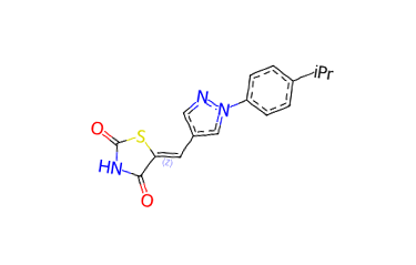 CC(C)c1ccc(-n2cc(/C=C3\SC(=O)NC3=O)cn2)cc1